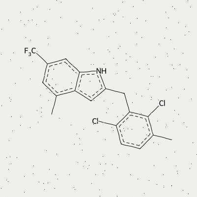 Cc1ccc(Cl)c(Cc2cc3c(C)cc(C(F)(F)F)cc3[nH]2)c1Cl